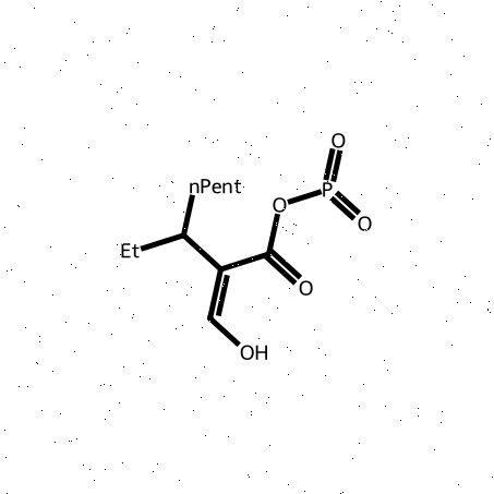 CCCCCC(CC)C(=CO)C(=O)OP(=O)=O